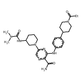 CCC(=O)N1CCC(c2ccc(Nc3nc(N4CCCC(NC(=O)N(C)C)C4)cnc3C(N)=O)cc2)CC1